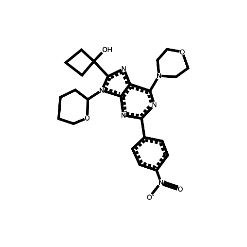 O=[N+]([O-])c1ccc(-c2nc(N3CCOCC3)c3nc(C4(O)CCC4)n(C4CCCCO4)c3n2)cc1